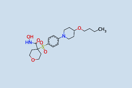 CCCCOC1CCN(c2ccc(S(=O)(=O)C3(C(=O)NO)CCOCC3)cc2)CC1